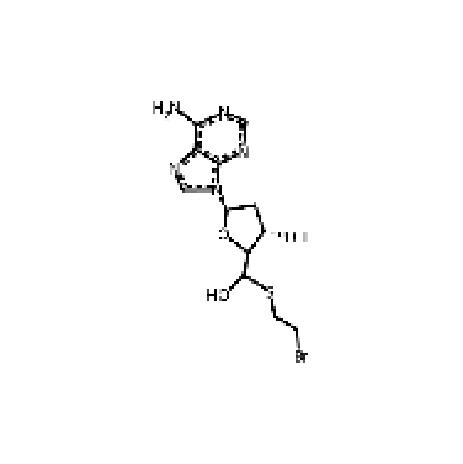 Nc1ncnc2c1ncn2[C@H]1C[C@H](O)[C@@H](C(O)SCCBr)O1